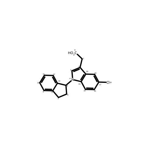 O=C(O)Cc1cn(C2CCc3ccccc32)c2ccc(Cl)cc12